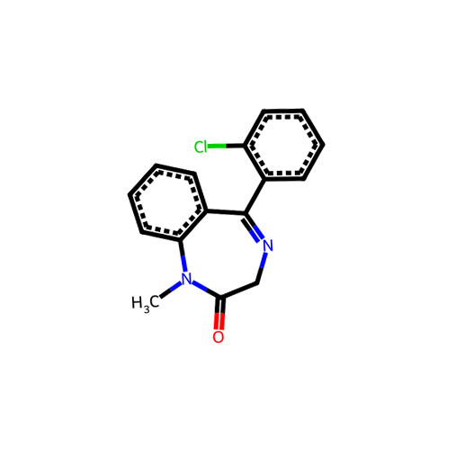 CN1C(=O)CN=C(c2ccccc2Cl)c2ccccc21